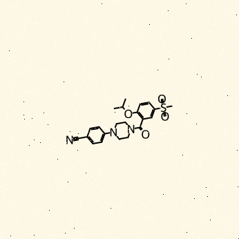 CC(C)Oc1ccc(S(C)(=O)=O)cc1C(=O)N1CCN(c2ccc(C#N)cc2)CC1